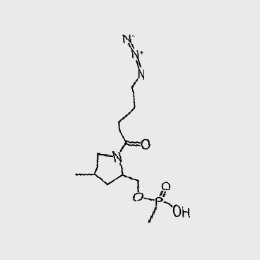 CC1CC(COP(C)(=O)O)N(C(=O)CCCN=[N+]=[N-])C1